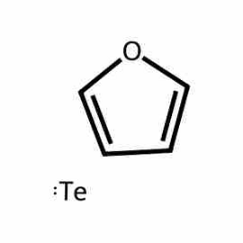 [Te].c1ccoc1